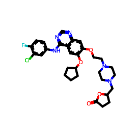 O=C1CCC(CN2CCN(CCOc3cc4ncnc(Nc5ccc(F)c(Cl)c5)c4cc3OC3CCCC3)CC2)O1